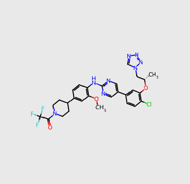 COc1cc(C2CCN(C(=O)C(F)(F)F)CC2)ccc1Nc1ncc(-c2ccc(Cl)c(O[C@@H](C)Cn3cnnn3)c2)cn1